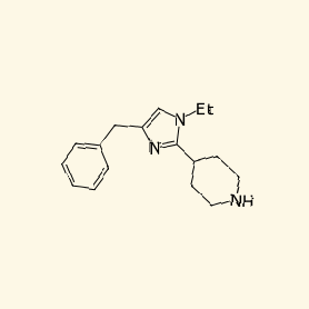 CCn1cc(Cc2ccccc2)nc1C1CCNCC1